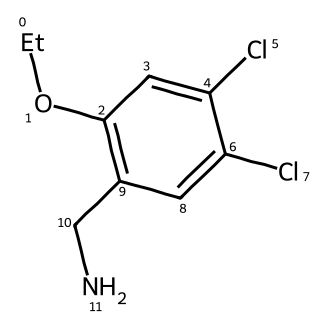 CCOc1cc(Cl)c(Cl)cc1CN